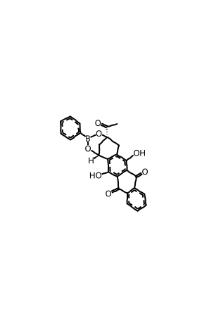 CC(=O)[C@]12Cc3c(O)c4c(c(O)c3[C@@H](C1)OB(c1ccccc1)O2)C(=O)c1ccccc1C4=O